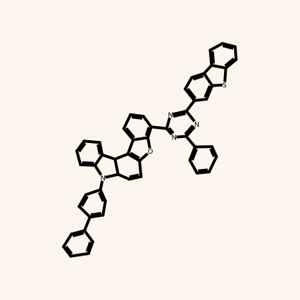 C1=CC2C(c3ccccc3N2c2ccc(-c3ccccc3)cc2)c2c1oc1c(-c3nc(-c4ccccc4)nc(-c4ccc5c(c4)sc4ccccc45)n3)cccc21